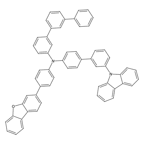 c1ccc(-c2cccc(-c3cccc(N(c4ccc(-c5cccc(-n6c7ccccc7c7ccccc76)c5)cc4)c4ccc(-c5ccc6c(c5)oc5ccccc56)cc4)c3)c2)cc1